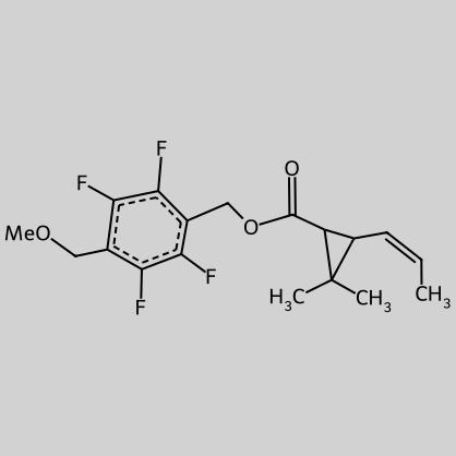 C/C=C\C1C(C(=O)OCc2c(F)c(F)c(COC)c(F)c2F)C1(C)C